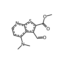 COC(=O)c1sc2nccc(N(C)C)c2c1C=O